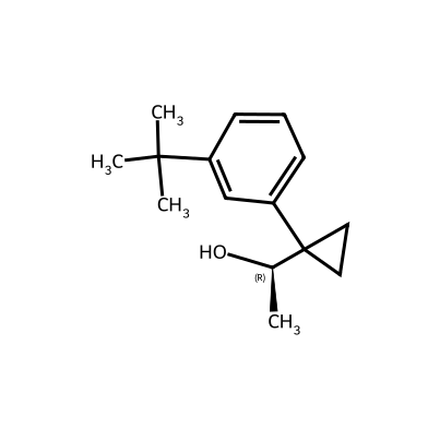 C[C@@H](O)C1(c2cccc(C(C)(C)C)c2)CC1